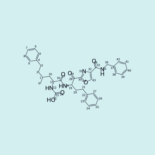 CC(CCc1ccccc1)CC(NC(=O)O)C(=O)NC(CCc1ccccc1)C(=O)c1nc(C(=O)NCc2ccccc2)co1